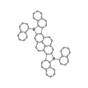 c1ccc2c(B3c4cc5ccc6c7c(cc8ccc(c4-c4ccc9ccccc9c43)c5c86)B(c3cccc4ccccc34)c3c-7ccc4ccccc34)cccc2c1